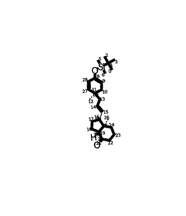 CC(C)(C)[Si](C)(C)OC1=CC[C@@](C)(CC=C[C@H]2CC[C@H]3C(=O)CCC[C@]23C)C=C1